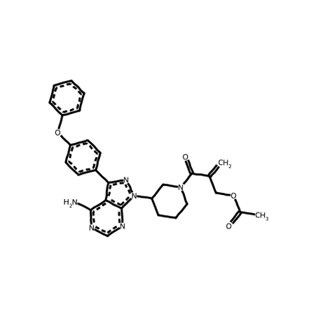 C=C(COC(C)=O)C(=O)N1CCCC(n2nc(-c3ccc(Oc4ccccc4)cc3)c3c(N)ncnc32)C1